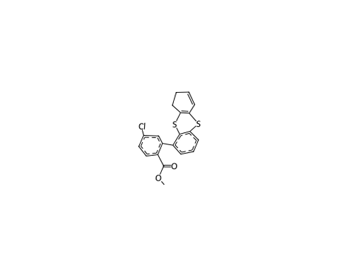 COC(=O)c1ccc(Cl)cc1-c1cccc2c1SC1=C(C=CCC1)S2